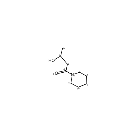 CC(O)CC(=O)N1CCCCC1